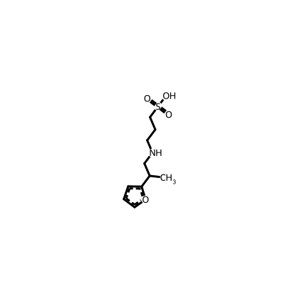 CC(CNCCCS(=O)(=O)O)c1ccco1